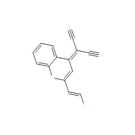 C/C=C/C1=CC(=C(C#N)C#N)c2ccccc2S1